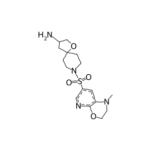 CN1CCOc2ncc(S(=O)(=O)N3CCC4(CC3)CC(N)CO4)cc21